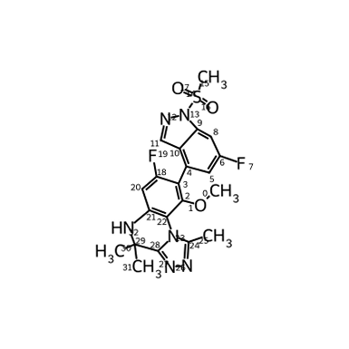 COc1c(-c2cc(F)cc3c2cnn3S(C)(=O)=O)c(F)cc2c1-n1c(C)nnc1C(C)(C)N2